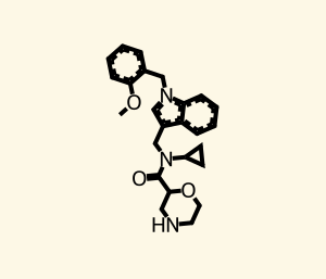 COc1ccccc1Cn1cc(CN(C(=O)C2CNCCO2)C2CC2)c2ccccc21